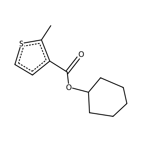 Cc1sccc1C(=O)OC1CCCCC1